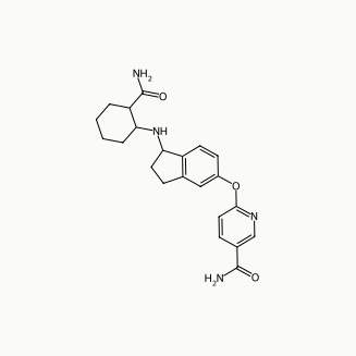 NC(=O)c1ccc(Oc2ccc3c(c2)CCC3NC2CCCCC2C(N)=O)nc1